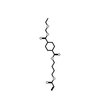 C=CC(=O)OCCCCOC(=O)C1CCC(C(=O)OCOCC)CC1